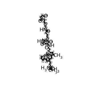 CC1=CC(CCC(=O)NC(CS(=O)(=O)O)C(=O)NCCCCC(=O)NCCOCCN2C(=O)C=CC2=O)=[N+]2C1=Cc1c(CCC[N+](C)(C)C)cc(-c3cccs3)n1[B-]2(F)F